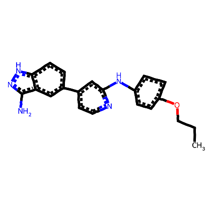 CCCOc1ccc(Nc2cc(-c3ccc4[nH]nc(N)c4c3)ccn2)cc1